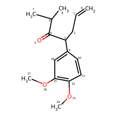 C=CCC(C(=O)C(C)C)c1ccc(OC)c(OC)c1